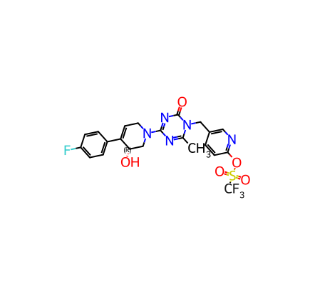 Cc1nc(N2CC=C(c3ccc(F)cc3)[C@@H](O)C2)nc(=O)n1Cc1ccc(OS(=O)(=O)C(F)(F)F)nc1